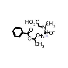 CC(O/N=[N+](/[O-])N(C)CC(=O)O)OC(=O)c1ccccc1